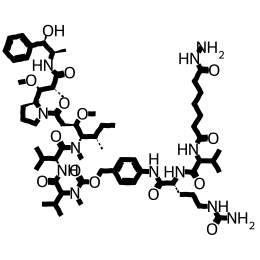 CC[C@H](C)[C@@H]([C@@H](CC(=O)N1CCC[C@H]1[C@H](OC)[C@@H](C)C(=O)N[C@H](C)[C@@H](O)c1ccccc1)OC)N(C)C(=O)[C@H](NC(=O)C(C(C)C)N(C)C(=O)OCc1ccc(NC(=O)[C@@H](CCCNC(N)=O)NC(=O)C(NC(=O)CCCCCC(=O)NN)C(C)C)cc1)C(C)C